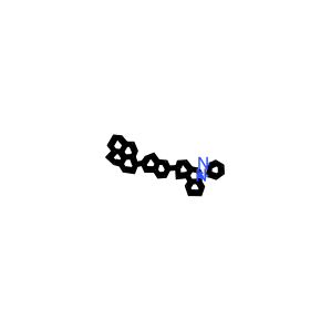 c1cc2ccc3ccc(-c4ccc5cc(-c6ccc7c(c6)c6ccccc6n6c8ccccc8nc76)ccc5c4)c4ccc(c1)c2c34